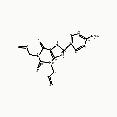 C=CCn1c(=O)c2[nH]c(-c3ccc(NC)nc3)nc2n(CC=C)c1=O